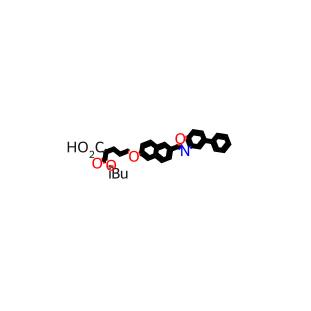 CCC(C)OC(=O)C(CCCOc1ccc2cc(-c3nc4cc(-c5ccccc5)ccc4o3)ccc2c1)C(=O)O